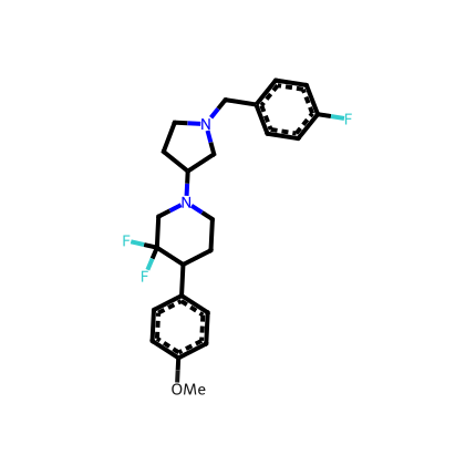 COc1ccc(C2CCN(C3CCN(Cc4ccc(F)cc4)C3)CC2(F)F)cc1